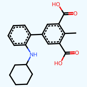 Cc1c(C(=O)O)cc(-c2ccccc2NC2CCCCC2)cc1C(=O)O